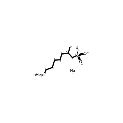 CCCCCCCCCCCCC(C)CS(=O)(=O)[O-].[Na+]